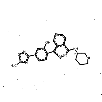 Cc1nc(-c2ccc(-c3nnc(N[C@@H]4CCCNC4)c4ccccc34)c(O)c2)ns1